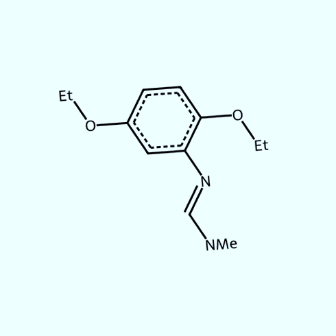 CCOc1ccc(OCC)c(N=CNC)c1